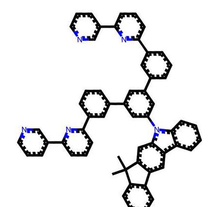 CC1(C)c2ccccc2-c2cc3c4ccccc4n(-c4cc(-c5cccc(-c6cccc(-c7cccnc7)n6)c5)cc(-c5cccc(-c6cccc(-c7cccnc7)n6)c5)c4)c3cc21